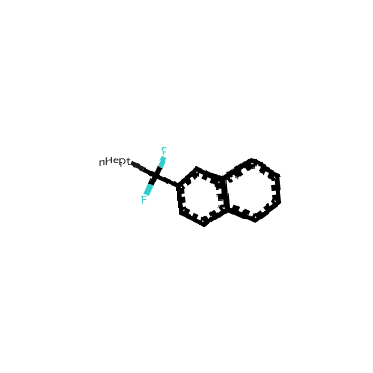 [CH2]CCCCCCC(F)(F)c1ccc2ccccc2c1